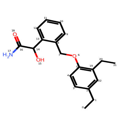 CCc1ccc(OCc2ccccc2C(O)C(N)=O)c(CC)c1